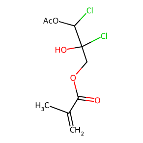 C=C(C)C(=O)OCC(O)(Cl)C(Cl)OC(C)=O